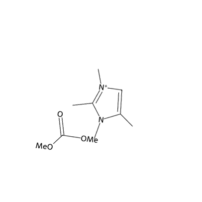 COC(=O)OC.Cc1c[n+](C)c(C)n1C